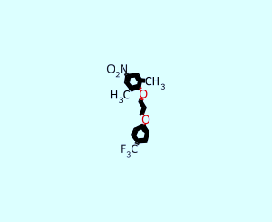 Cc1cc([N+](=O)[O-])cc(C)c1OCCCOc1ccc(C(F)(F)F)cc1